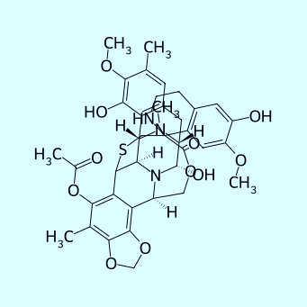 COc1cc2c(cc1O)CCNC21CSC2c3c(OC(C)=O)c(C)c4c(c3[C@H](COC1=O)N1[C@@H](O)[C@H]3Cc5cc(C)c(OC)c(O)c5[C@@H]([C@H]21)N3C)OCO4